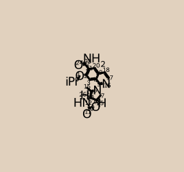 CC(C)Oc1cc2c(N3C[C@@H]4OC(=O)N[C@@H]4C3C)nccc2cc1C(N)=O